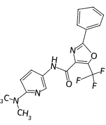 CN(C)c1ccc(NC(=O)c2nc(-c3ccccc3)oc2C(F)(F)F)cn1